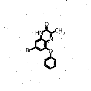 Cc1nc2c(Oc3ccccc3)cc(Br)cc2[nH]c1=O